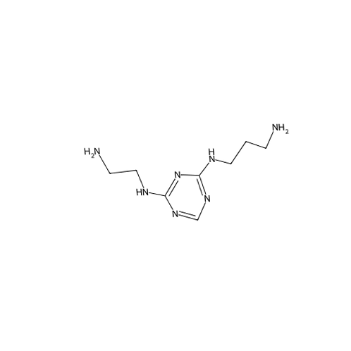 NCCCNc1ncnc(NCCN)n1